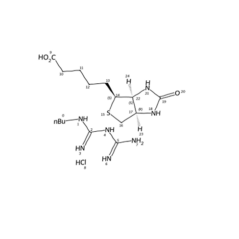 CCCCNC(=N)NC(=N)N.Cl.O=C(O)CCCC[C@@H]1SC[C@@H]2NC(=O)N[C@@H]21